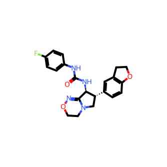 O=C(Nc1ccc(F)cc1)N[C@@H]1C2=NOCCN2C[C@H]1c1ccc2c(c1)CCO2